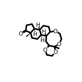 CC12OCCOC3CC[C@@H]4[C@H](CC[C@]5(C)C(=O)CC[C@@H]45)[C@H]3CC1OCCO2